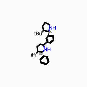 CC(C)C1CCC(c2cccc([C@@H]3NCCCC3C(C)(C)C)c2)N[C@@H]1c1ccccc1